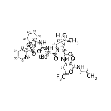 C=CCNC(=O)C(=O)C(CCC(F)(F)F)NC(=O)[C@@H]1C2C(CN1C(=O)[C@@H](NC(=O)NC1(CS(=O)(=O)c3ccccn3)CCCCC1)C(C)(C)C)C2(C)C